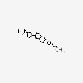 CCCCOCC1CCc2cc(C3CCC(N)C3)ccc2C1